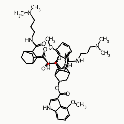 COc1cccc2[nH]cc(C(=O)OC3CC4CCC3C(C(=O)NC(=O)C3C5CCC(CC5OC(=O)c5c[nH]c6cccc(OC)c56)C3C(=O)NCCCN(C)C)C4C(=O)NCCCN(C)C)c12